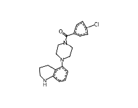 O=C(c1ccc(Cl)cc1)N1CCN(c2cccc3c2CCCN3)CC1